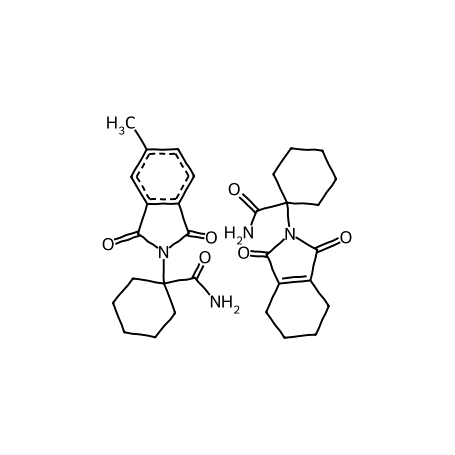 Cc1ccc2c(c1)C(=O)N(C1(C(N)=O)CCCCC1)C2=O.NC(=O)C1(N2C(=O)C3=C(CCCC3)C2=O)CCCCC1